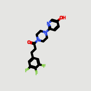 O=C(CCc1cc(F)c(F)c(F)c1)N1CCN(c2ccc(O)cn2)CC1